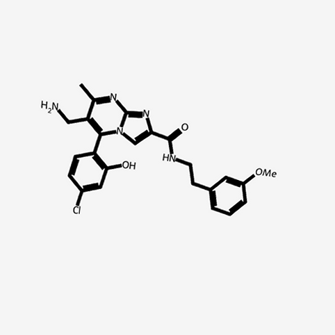 COc1cccc(CCNC(=O)c2cn3c(-c4ccc(Cl)cc4O)c(CN)c(C)nc3n2)c1